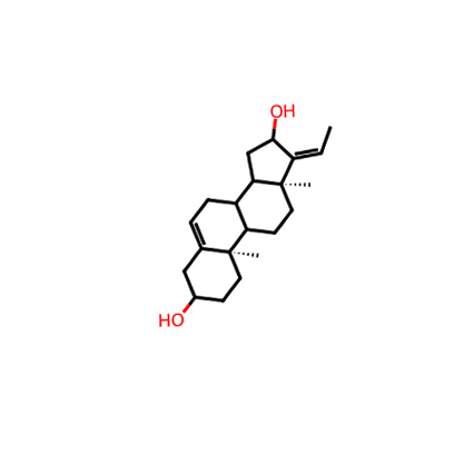 C/C=C1\C(O)CC2C3CC=C4CC(O)CC[C@]4(C)C3CC[C@]12C